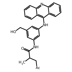 CC(=O)CC(C)C(=O)Nc1cc(CO)cc(Nc2c3ccccc3nc3ccccc23)c1